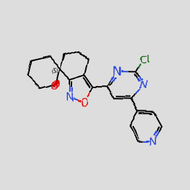 Clc1nc(-c2ccncc2)cc(-c2onc3c2CCC[C@@]32CCCCC23OCCO3)n1